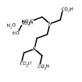 O.O=C(O)CN(CCN(CC(=O)O)CC(=O)O)CC(=O)O.O=S(=O)(O)O